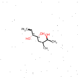 C=C[C@@H](O)[C@H](O)CC(C)C(C)O